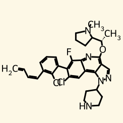 C=C/C=C\c1cccc(-c2c(Cl)cc3c(nc(O[C@@H](C)C4CCCN4C)c4cnn(C5CCNCC5)c43)c2F)c1Cl